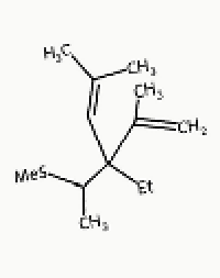 C=C(C)C(C=C(C)C)(CC)C(C)SC